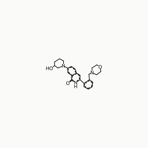 O=c1[nH]c(-c2ccccc2CN2CCOCC2)cc2ccc(N3CCCC(O)C3)cc12